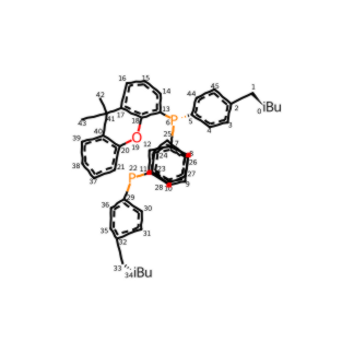 CC[C@H](C)Cc1ccc([P@](c2ccccc2)c2cccc3c2Oc2c([P@@](c4ccccc4)c4ccc(C[C@@H](C)CC)cc4)cccc2C3(C)C)cc1